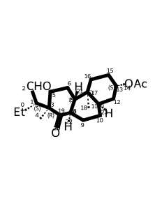 CC[C@H](C=O)[C@@]1(C)CC[C@H]2[C@@H](CC[C@@H]3C[C@@H](OC(C)=O)CC[C@@]32C)C1=O